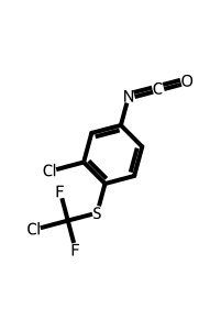 O=C=Nc1ccc(SC(F)(F)Cl)c(Cl)c1